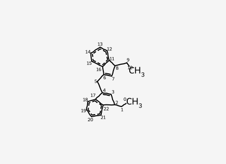 CCC1C=C(CC2=CC(CC)c3ccccc32)c2ccccc21